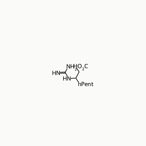 CCCCCC(CC(=O)O)NC(=N)N